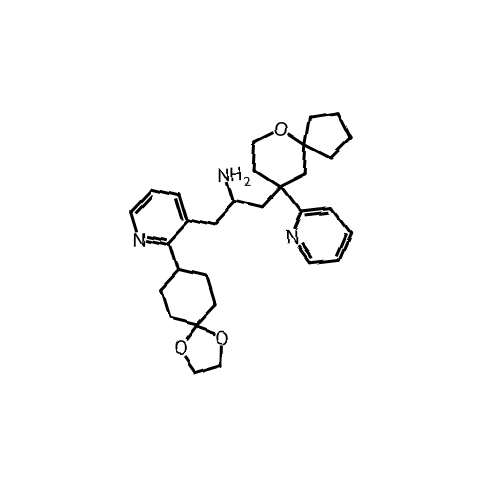 NC(Cc1cccnc1C1CCC2(CC1)OCCO2)CC1(c2ccccn2)CCOC2(CCCC2)C1